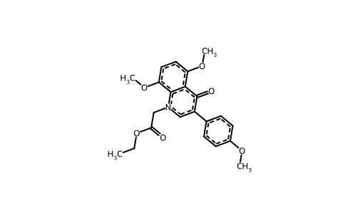 CCOC(=O)Cn1cc(-c2ccc(OC)cc2)c(=O)c2c(OC)ccc(OC)c21